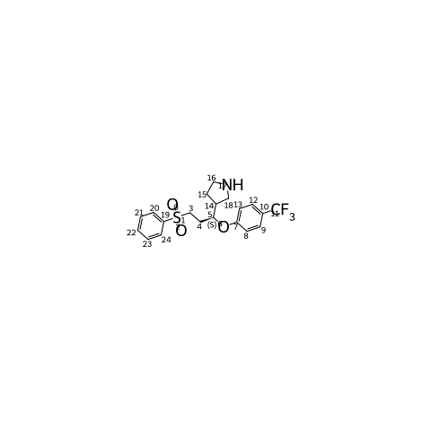 O=S(=O)(CC[C@H](Oc1ccc(C(F)(F)F)cc1)C1CCNC1)c1ccccc1